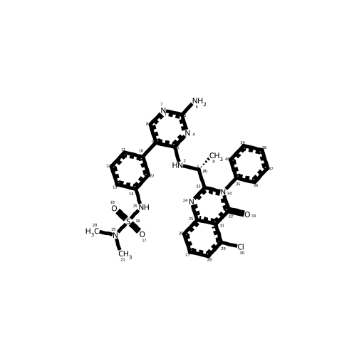 C[C@@H](Nc1nc(N)ncc1-c1cccc(NS(=O)(=O)N(C)C)c1)c1nc2cccc(Cl)c2c(=O)n1-c1ccccc1